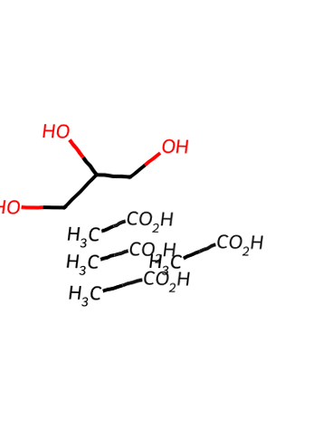 CC(=O)O.CC(=O)O.CC(=O)O.CC(=O)O.OCC(O)CO